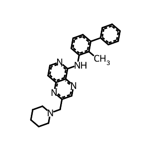 Cc1c(Nc2nccc3nc(CN4CCCCC4)cnc23)cccc1-c1ccccc1